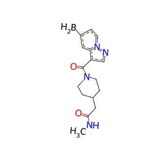 Bc1ccn2ncc(C(=O)N3CCC(CC(=O)NC)CC3)c2c1